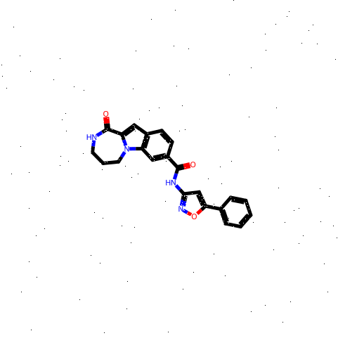 O=C(Nc1cc(-c2ccccc2)on1)c1ccc2cc3n(c2c1)CCCNC3=O